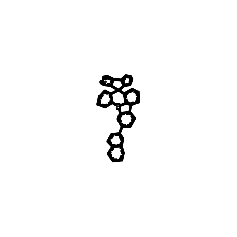 c1ccc2c(c1)B1c3cc(-c4ccc5ccccc5c4)ccc3-c3cccc(c31)C21c2ccccc2-c2ccccc21